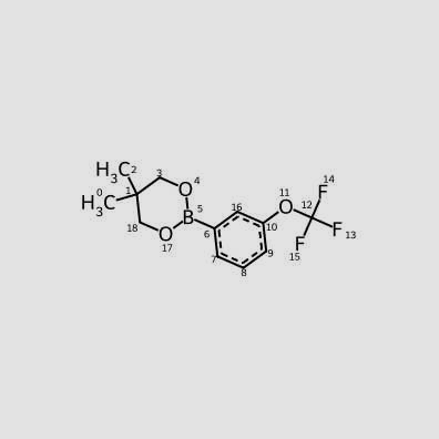 CC1(C)COB(c2cccc(OC(F)(F)F)c2)OC1